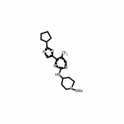 CSN1CCC(Nc2ncc(C(F)(F)F)c(-c3cnc(C4CCCC4)s3)n2)CC1